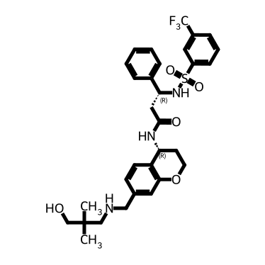 CC(C)(CO)CNCc1ccc2c(c1)OCC[C@H]2NC(=O)C[C@@H](NS(=O)(=O)c1cccc(C(F)(F)F)c1)c1ccccc1